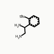 CC(C)(C)c1ccccc1C(N)CN